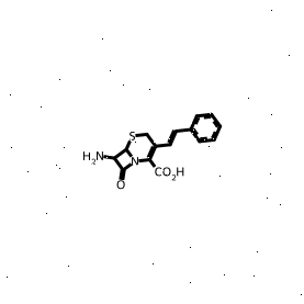 NC1C(=O)N2C(C(=O)O)=C(C=Cc3ccccc3)CSC12